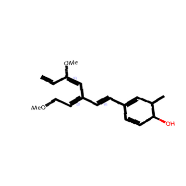 C=C\C(=C/C(=C\COC)/C=C/C1=CC(C)C(O)C=C1)OC